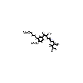 COCCCOc1cc(C(=O)C(C/C=C/CC(C(=O)N(C)C)C(C)C)C(C)C)ccc1OC